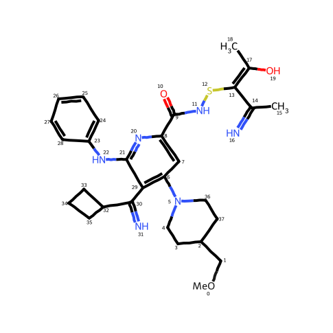 COCC1CCN(c2cc(C(=O)NS/C(C(C)=N)=C(\C)O)nc(Nc3ccccc3)c2C(=N)C2CCC2)CC1